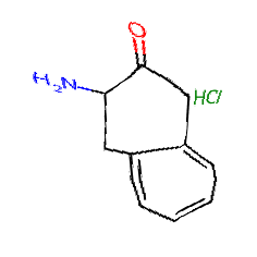 Cl.NC1Cc2ccccc2CC1=O